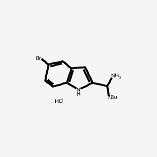 CCCCC(N)c1cc2cc(Br)ccc2[nH]1.Cl